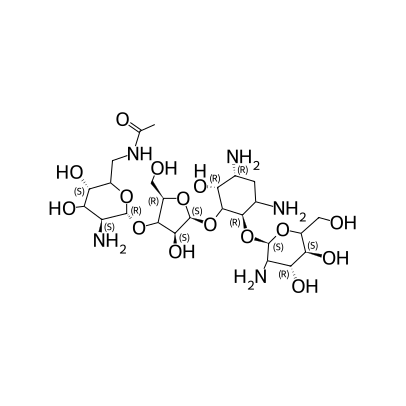 CC(=O)NCC1O[C@H](OC2[C@@H](CO)O[C@@H](OC3[C@H](O[C@H]4OC(CO)[C@@H](O)[C@H](O)C4N)C(N)C[C@@H](N)[C@H]3O)[C@H]2O)[C@@H](N)C(O)[C@@H]1O